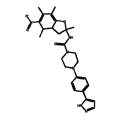 CC1=C2OC(C)(NC(=O)N3CCN(c4ccc(-c5ccn[nH]5)cc4)CC3)CC2C(C)C([N+](=O)[O-])=C1C